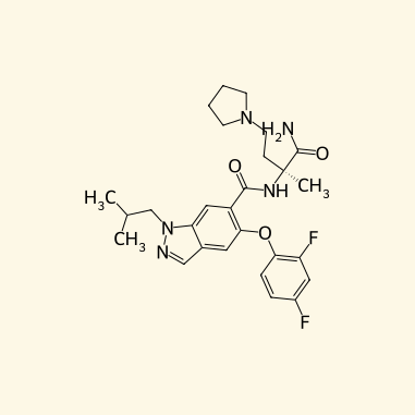 CC(C)Cn1ncc2cc(Oc3ccc(F)cc3F)c(C(=O)N[C@@](C)(CCN3CCCC3)C(N)=O)cc21